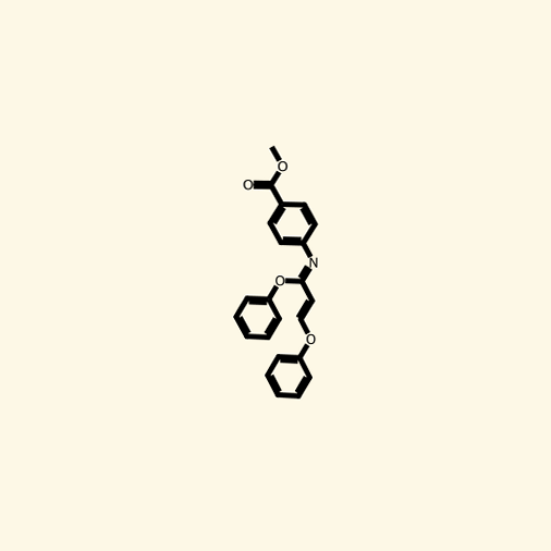 COC(=O)c1ccc(N=C(C=COc2ccccc2)Oc2ccccc2)cc1